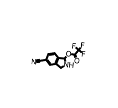 N#Cc1ccc2c(c1)CNC2OC(=O)C(F)(F)F